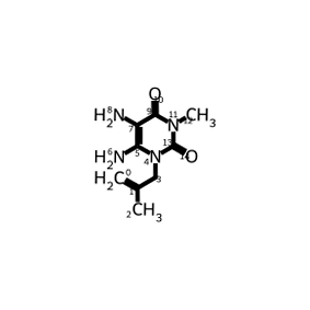 C=C(C)Cn1c(N)c(N)c(=O)n(C)c1=O